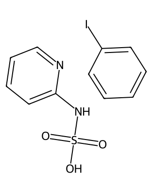 Ic1ccccc1.O=S(=O)(O)Nc1ccccn1